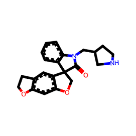 O=C1N(CC2CCNC2)c2ccccc2C12COc1cc3c(cc12)CCO3